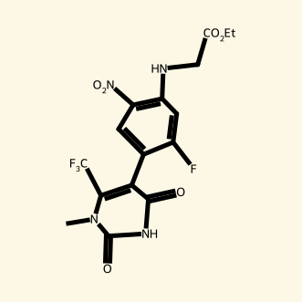 CCOC(=O)CNc1cc(F)c(-c2c(C(F)(F)F)n(C)c(=O)[nH]c2=O)cc1[N+](=O)[O-]